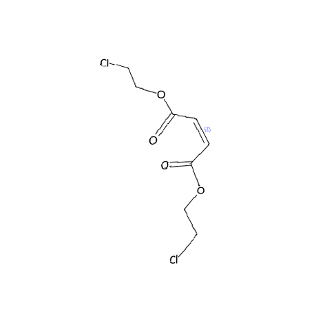 O=C(/C=C\C(=O)OCCCl)OCCCl